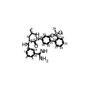 CC(C)CN(Nc1cccc(C(=N)N)c1)C(=O)Nc1ccc(-c2ccccc2S(C)(=O)=O)cc1